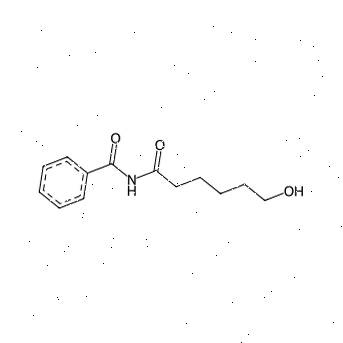 O=C(CCCCCO)NC(=O)c1ccccc1